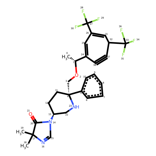 C[C@@H](OC[C@@]1(c2ccccc2)CC[C@H](N2C=NC(C)(C)C2=O)CN1)C1=CC(C(F)(F)F)=CC(C(F)(F)F)C#C1